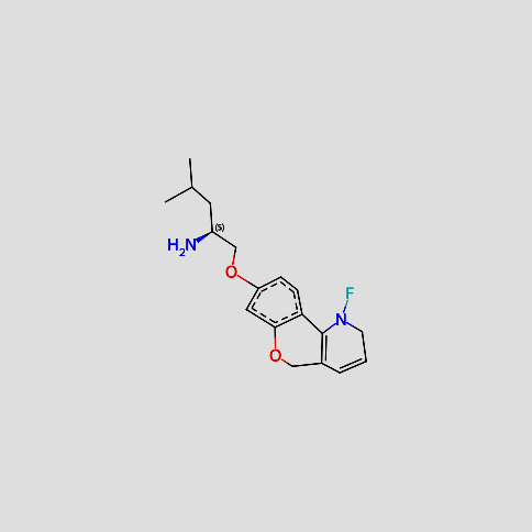 CC(C)C[C@H](N)COc1ccc2c(c1)OCC1=C2N(F)CC=C1